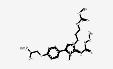 CCOC(=O)[C@H](O)COc1ccc(-c2cn(CCCNC(=O)OC(C)(C)C)/c(=N\C(=O)OOC(C)(C)C)n2C)cc1